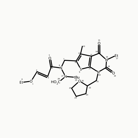 CCOC=CC(=O)N(Cc1sc2c(c1C)c(=O)n(CC)c(=O)n2CC1CCCO1)N(C(=O)O)C(C)(C)C